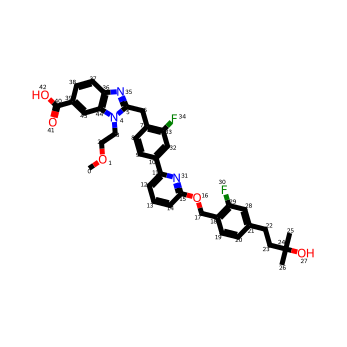 COCCn1c(Cc2ccc(-c3cccc(OCc4ccc(CCC(C)(C)O)cc4F)n3)cc2F)nc2ccc(C(=O)O)cc21